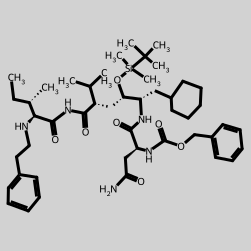 CC[C@H](C)[C@H](NCCc1ccccc1)C(=O)NC(=O)[C@@H](C[C@H](O[Si](C)(C)C(C)(C)C)[C@H](CC1CCCCC1)NC(=O)[C@H](CC(N)=O)NC(=O)OCc1ccccc1)C(C)C